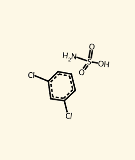 Clc1cccc(Cl)c1.NS(=O)(=O)O